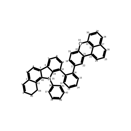 C1=Cc2ccc3c4cccc(-c5ccccc5-c5ccc6c(c5)-c5cccc7cccc(c57)O6)c4n(-c4ccccc4)c3c2CC1